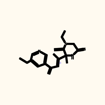 C=C(/C=C(\C)C1(C)NC(=S)CN(CC)C1=C)c1cncc(CC)c1